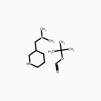 CC(C)(C)OC=O.CN(C)CC1CCCNC1